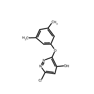 Cc1cc(C)cc(Oc2nnc(Cl)cc2O)c1